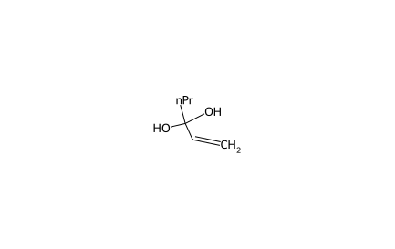 C=CC(O)(O)CCC